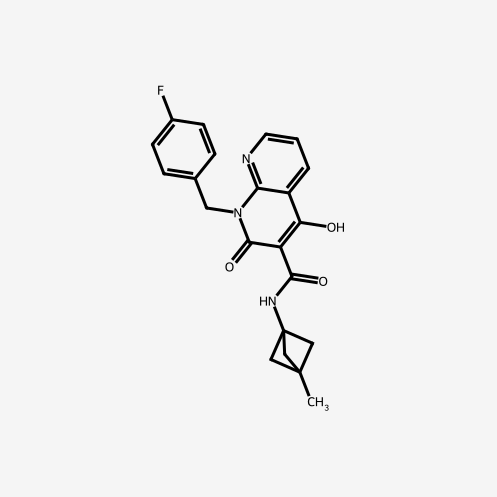 CC12CC(NC(=O)c3c(O)c4cccnc4n(Cc4ccc(F)cc4)c3=O)(C1)C2